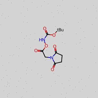 CC(C)(C)OC(=O)NOC(=O)CN1C(=O)CCC1=O